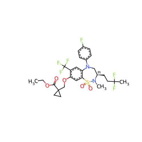 CCOC(=O)C1(COc2cc3c(cc2C(F)(F)F)N(c2ccc(F)cc2)C[C@@H](CCC(C)(F)F)N(C)S3(=O)=O)CC1